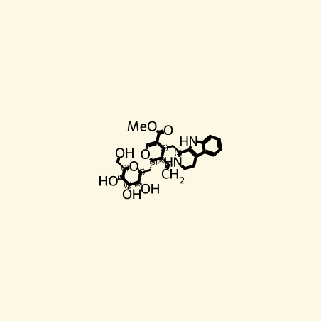 C=C[C@H]1[C@H](C[C@@H]2O[C@H](CO)[C@@H](O)[C@H](O)[C@H]2O)OC=C(C(=O)OC)[C@H]1C[C@@H]1NCCc2c1[nH]c1ccccc21